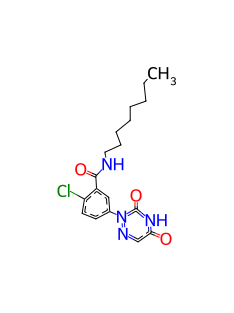 CCCCCCCCNC(=O)c1cc(-n2ncc(=O)[nH]c2=O)ccc1Cl